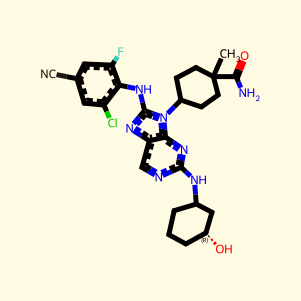 CC1(C(N)=O)CCC(n2c(Nc3c(F)cc(C#N)cc3Cl)nc3cnc(NC4CCC[C@@H](O)C4)nc32)CC1